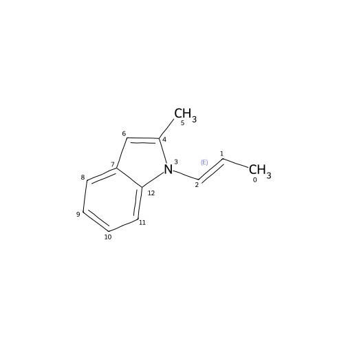 C/C=C/n1c(C)cc2ccccc21